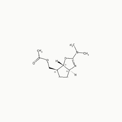 CC(=O)OC[C@@H]1[C][C][C@@H]2N=C(N(C)C)O[C@H]21